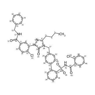 CCCCc1nn(-c2cc(C(=O)NCc3ccccc3)ccc2Cl)c(=O)n1Cc1ccc(-c2ccccc2S(=O)(=O)NC(=O)c2ccccc2Cl)cc1